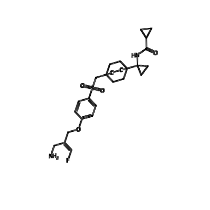 NCC(=CF)COc1ccc(S(=O)(=O)CC23CCC(C4(NC(=O)C5CC5)CC4)(CC2)CC3)cc1